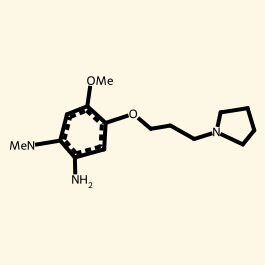 CNc1cc(OC)c(OCCCN2CCCC2)cc1N